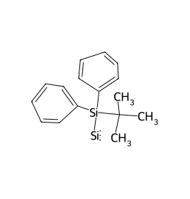 CC(C)(C)[Si]([Si])(c1ccccc1)c1ccccc1